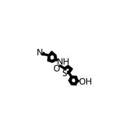 N#Cc1ccc(NC(=O)c2ccc(-c3cccc(O)c3)s2)cc1